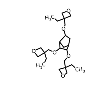 CCC1(COC2CC3CC2C(OCC2(CC)COC2)C3OCC2(CC)COC2)COC1